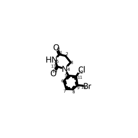 O=C1CCN(c2cccc(Br)c2Cl)C(=O)N1